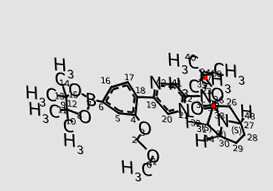 COCOc1cc(B2OC(C)(C)C(C)(C)O2)ccc1-c1cnc(N(C)[C@H]2C[C@@H]3CC[C@H]([C@H]2F)N3C(=O)OC(C)(C)C)cn1